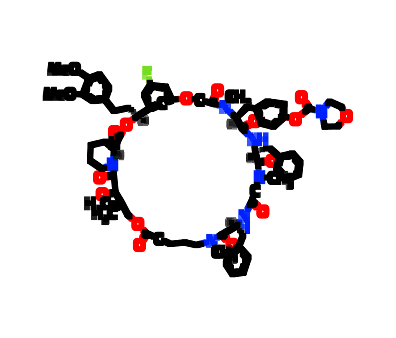 COc1ccc(CC[C@H]2OC(=O)[C@@H]3CCCCN3C(=O)C(=O)C(C)(C)COC(=O)CCCCN(C)C(=O)[C@@H](Cc3ccccc3)NC(=O)CN(C)C(=O)[C@@H](Cc3ccccc3)NC(=O)[C@H](Cc3ccc(OC(=O)N4CCOCC4)cc3)N(C)C(=O)COc3cc(F)cc2c3)cc1OC